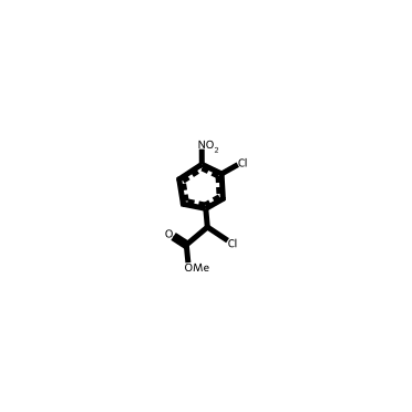 COC(=O)C(Cl)c1ccc([N+](=O)[O-])c(Cl)c1